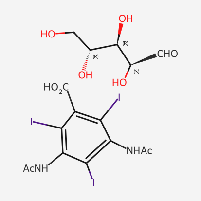 CC(=O)Nc1c(I)c(NC(C)=O)c(I)c(C(=O)O)c1I.O=C[C@@H](O)[C@H](O)[C@H](O)CO